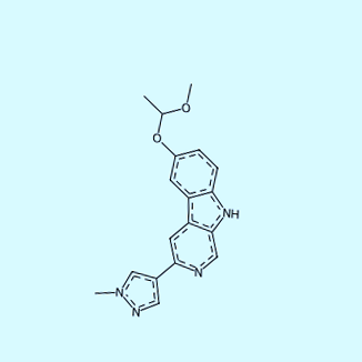 COC(C)Oc1ccc2[nH]c3cnc(-c4cnn(C)c4)cc3c2c1